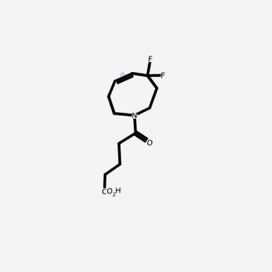 O=C(O)CCCC(=O)N1CC/C=C\C(F)(F)CC1